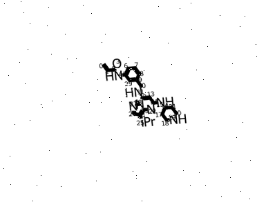 C=CC(=O)Nc1cccc(CNc2cc(NC3CCNCC3)nc3c(C(C)C)cnn23)c1